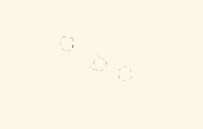 O=C(O)COc1ccc(Cl)cc1-c1cnc(NCc2ccccc2)nc1